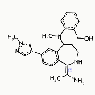 C/C(N)=C1/NCCC(N(C)c2ccccc2CO)c2cc(-c3cnn(C)c3)ccc21